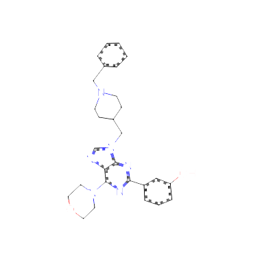 Oc1cccc(-c2nc(N3CCOCC3)c3ncn(CC4CCN(Cc5ccccc5)CC4)c3n2)c1